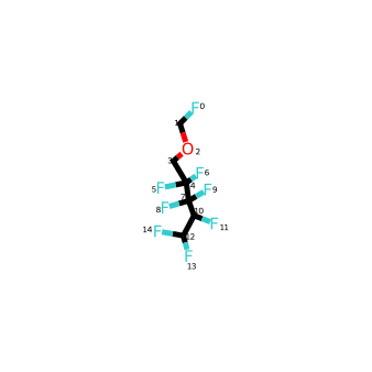 FCOCC(F)(F)C(F)(F)C(F)C(F)F